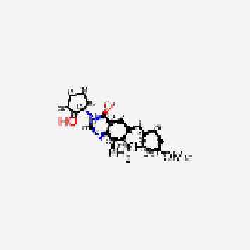 COc1ccc(Cc2cc3c(=O)n([C@@H]4CCCC[C@H]4O)cnc3c(C)c2C)cc1